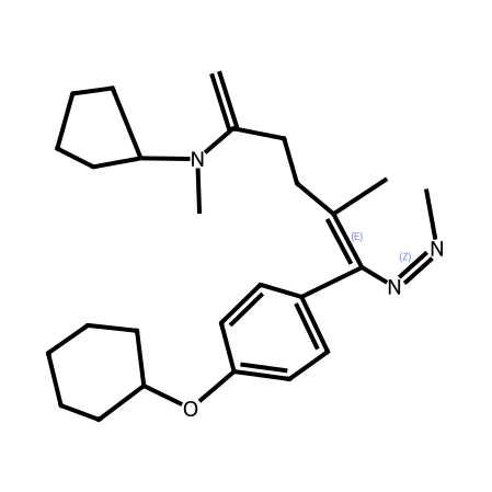 C=C(CC/C(C)=C(/N=N\C)c1ccc(OC2CCCCC2)cc1)N(C)C1CCCC1